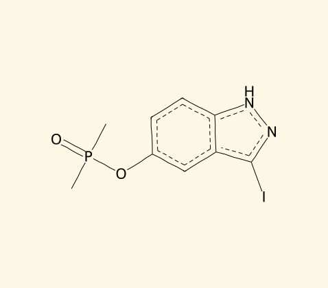 CP(C)(=O)Oc1ccc2[nH]nc(I)c2c1